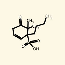 CCCCC1(S(=O)(=O)O)C=CCC(=O)C1(C)C